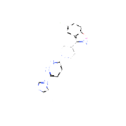 Cc1cn(-c2ccc(N3CCC(c4noc5ccc(F)cc45)CC3)nn2)cn1